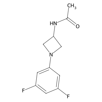 CC(=O)NC1CN(c2cc(F)cc(F)c2)C1